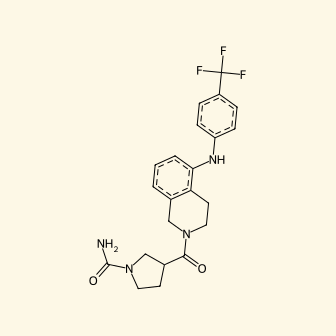 NC(=O)N1CCC(C(=O)N2CCc3c(cccc3Nc3ccc(C(F)(F)F)cc3)C2)C1